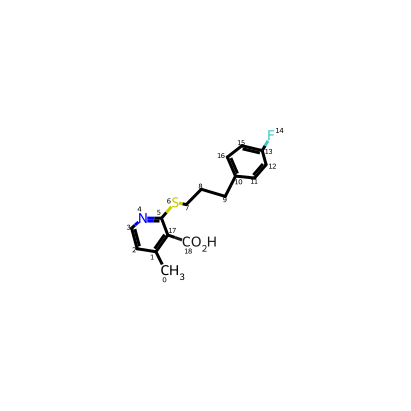 Cc1ccnc(SCCCc2ccc(F)cc2)c1C(=O)O